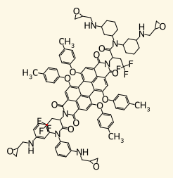 Cc1ccc(Oc2cc3c4c(cc(Oc5ccc(C)cc5)c5c6c(Oc7ccc(C)cc7)cc7c8c(cc(Oc9ccc(C)cc9)c(c2c45)c86)C(=O)N(C(CC(F)(F)F)C(=O)N(C2CCCC(NCC4CO4)C2)C2CCCC(NCC4CO4)C2)C7=O)C(=O)N(C(CC(F)(F)F)C(=O)N(c2cccc(NCC4CO4)c2)c2cccc(NCC4CO4)c2)C3=O)cc1